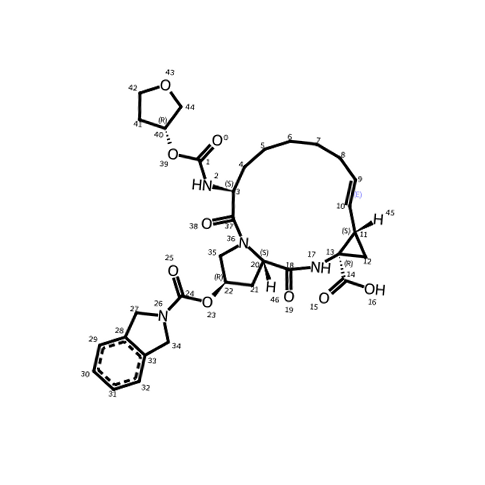 O=C(N[C@H]1CCCCC/C=C/[C@@H]2C[C@@]2(C(=O)O)NC(=O)[C@@H]2C[C@@H](OC(=O)N3Cc4ccccc4C3)CN2C1=O)O[C@@H]1CCOC1